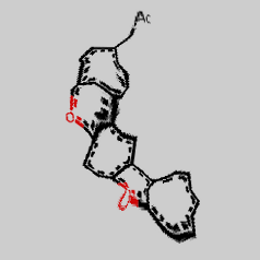 CC(=O)c1ccc2oc3cc4oc5ccccc5c4cc3c2c1